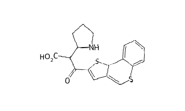 O=C(O)C(C(=O)C1=CC2=CSc3ccccc3C2S1)C1CCCN1